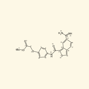 CC(C)(C)OC(=O)COc1ccc(NC(=O)c2occ3ccc(C(=N)N)cc23)cc1